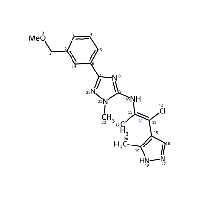 COCc1cccc(-c2nc(N/C(C)=C(\Cl)c3cn[nH]c3C)n(C)n2)c1